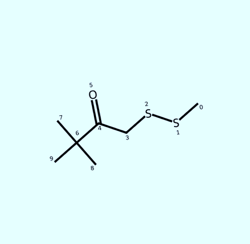 CSSCC(=O)C(C)(C)C